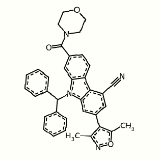 Cc1noc(C)c1-c1cc(C#N)c2c3ccc(C(=O)N4CCOCC4)cc3n(C(c3ccccc3)c3ccccc3)c2c1